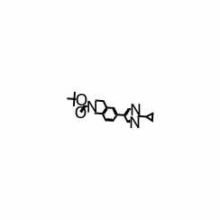 CC(C)(C)OC(=O)N1CCc2cc(-c3cnc(C4CC4)nc3)ccc2C1